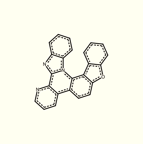 c1ccc2c(c1)nc1c3ncccc3c3ccc4oc5ccccc5c4c3n21